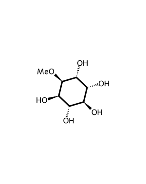 CO[C@H]1[C@H](O)[C@H](O)[C@@H](O)[C@H](O)[C@H]1O